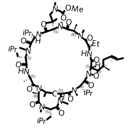 C/C=C/C[C@@H](C)[C@H]1ON2C(=O)[C@H](C(C)C)N(C)C(=O)[C@@H]3CC(C)N(C(=O)[C@H](C)NC(=O)[C@H](CC(C)C)N(C)C(=O)[C@H](C(C)C)NC(=O)[C@H](C(C)(C)CN(C)C(=O)OC)N(C)C(=O)[C@@H](C)N(C)C(=O)[C@H](CC)NC(=O)[C@H]12)[C@H](C)C(=O)N(C)[C@@H](CC(C)C)C(=O)N3C